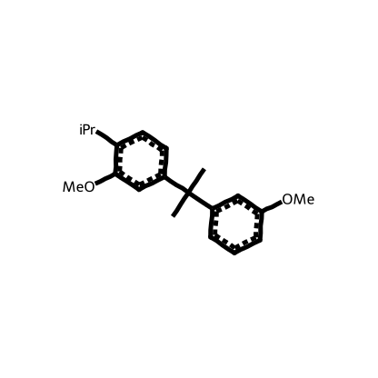 COc1cccc(C(C)(C)c2ccc(C(C)C)c(OC)c2)c1